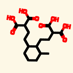 CC1CCCC(CCC(C(=O)O)C(=O)O)C1CCC(C(=O)O)C(=O)O